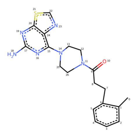 Cc1ccccc1CCC(=O)N1CCN(c2nc(N)nc3scnc23)CC1